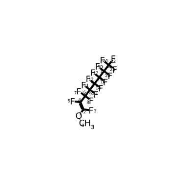 COC(F)=C(F)C(F)(F)C(F)(F)C(F)(F)C(F)(F)C(F)(F)C(F)(F)F